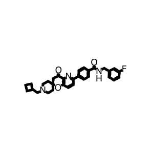 O=C(NCc1cccc(F)c1)c1ccc(-c2ccc3c(n2)C(=O)CC2(CCN(CC4CCC4)CC2)O3)cc1